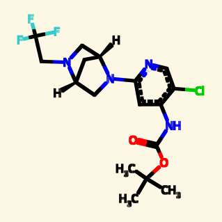 CC(C)(C)OC(=O)Nc1cc(N2C[C@H]3C[C@@H]2CN3CC(F)(F)F)ncc1Cl